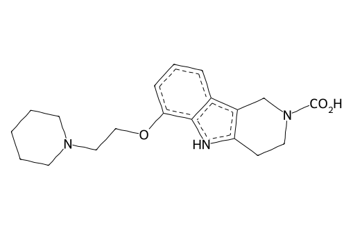 O=C(O)N1CCc2[nH]c3c(OCCN4CCCCC4)cccc3c2C1